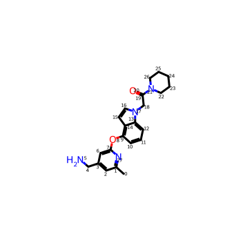 Cc1cc(CN)cc(Oc2cccc3c2ccn3CC(=O)N2CCCCC2)n1